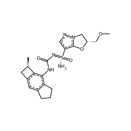 COC[C@H]1Cn2ncc([S@@](N)(=O)=NC(=O)Nc3c4c(cc5c3[C@H](C)C5)CCC4)c2O1